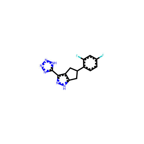 Fc1ccc(C2Cc3[nH]nc(-c4nnn[nH]4)c3C2)c(F)c1